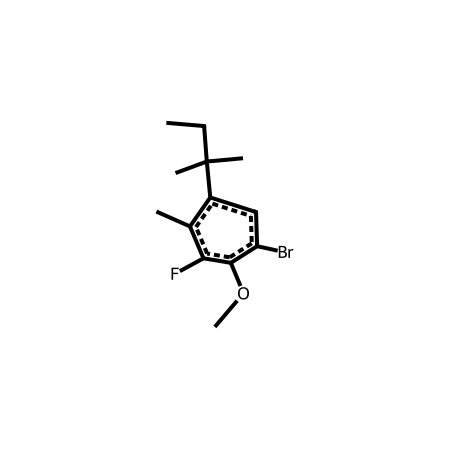 CCC(C)(C)c1cc(Br)c(OC)c(F)c1C